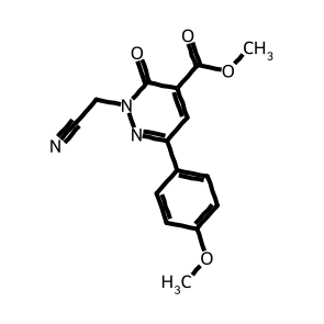 COC(=O)c1cc(-c2ccc(OC)cc2)nn(CC#N)c1=O